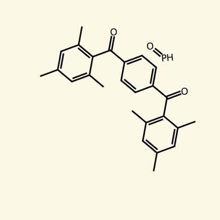 Cc1cc(C)c(C(=O)c2ccc(C(=O)c3c(C)cc(C)cc3C)cc2)c(C)c1.O=P